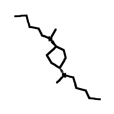 CCCCCN(C)[C@H]1CC[C@H](N(C)CCCCC)CC1